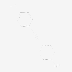 CCCC1CCC(C#Cc2ccc(C(F)(F)F)cc2)CC1